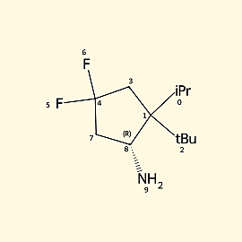 CC(C)C1(C(C)(C)C)CC(F)(F)C[C@H]1N